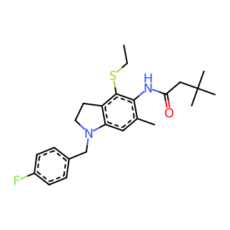 CCSc1c2c(cc(C)c1NC(=O)CC(C)(C)C)N(Cc1ccc(F)cc1)CC2